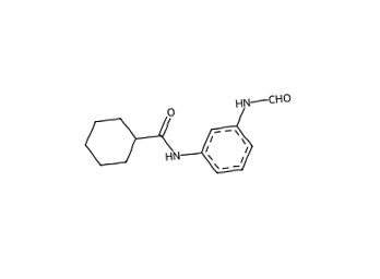 O=CNc1cccc(NC(=O)C2CCCCC2)c1